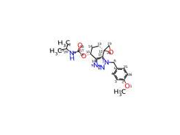 COc1ccc(Cn2nnc3c2[C@@]2(CC[C@H]3OC(=O)NC(C)C)CO2)cc1